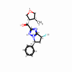 C[C@@H]1COC[C@H]1C(=O)c1nc2n(n1)[C@H](c1ccccc1)C[C@@H]2F